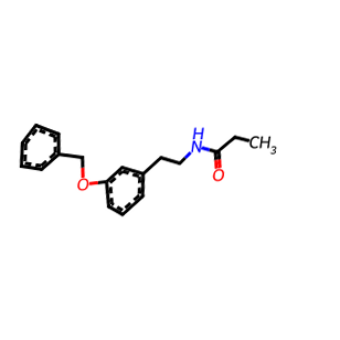 CCC(=O)NCCc1cccc(OCc2ccccc2)c1